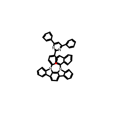 c1ccc(-c2cc(-c3ccccc3)nc(-c3ccc(-n4c5ccccc5c5ccc6c7ccccc7n(-c7cccc8ccccc78)c6c54)cc3)n2)cc1